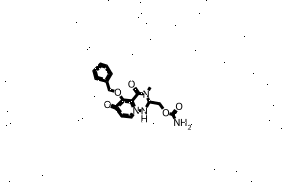 CN1C(=O)c2c(OCc3ccccc3)c(=O)ccn2NC1COC(N)=O